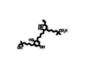 C=CC(O)/C=C(/CCCCC(C)(C)C(=O)O)C(O)CCCCC1=CC(O)C=C(CCCCC(C)(C)CO)C1O